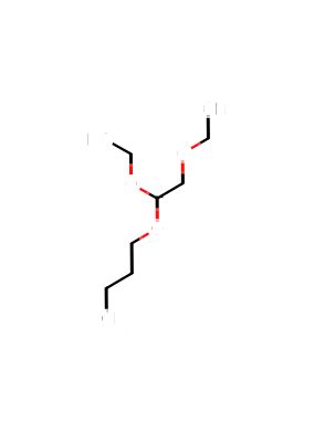 CCCCO[C](COCC)OCC